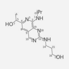 CC(C)Nc1nc(C(C)O)cc2cnc(NCCCO)nc12